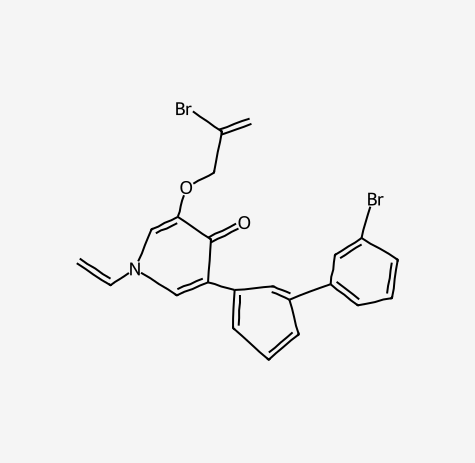 C=Cn1cc(OCC(=C)Br)c(=O)c(-c2cccc(-c3cccc(Br)c3)c2)c1